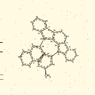 Cc1cccc(-n2c3ccccc3c3ccc4c5ccccc5n(-c5ccc6ccccc6c5)c4c32)c1